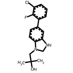 CC(C)(O)CN1CNc2cc(-c3cccc(Cl)c3F)ccc21